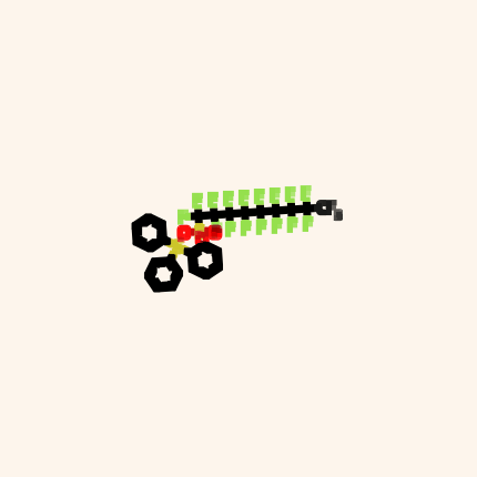 O=S(=O)(OS(c1ccccc1)(c1ccccc1)c1ccccc1)C(F)(F)C(F)(F)C(F)(F)C(F)(F)C(F)(F)C(F)(F)C(F)(F)C(F)(F)C(F)(F)F